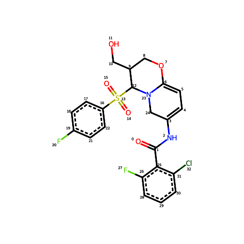 O=C(NC1=CC=C2OCC(CO)C(S(=O)(=O)c3ccc(F)cc3)N2C1)c1c(F)cccc1Cl